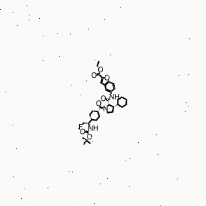 CCOC(=O)c1cc2cc(NC(=O)[C@@H]3[C@H](C4CCCCC4)CCN3C(=O)[C@H]3CC[C@H]([C@H](CF)NC(=O)OC(C)(C)C)CC3)ccc2o1